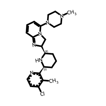 Cc1c(Cl)ccnc1[C@@H]1CCC[C@H](C2CN3C(N4CCN(C)CC4)=CC=CC3=N2)N1